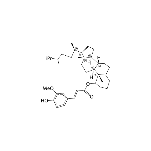 COc1cc(C=CC(=O)OC2CCCC3CC[C@@H]4[C@H](CC[C@]5(C)[C@@H]([C@H](C)CCC(C)C(C)C)CC[C@@H]45)[C@]32C)ccc1O